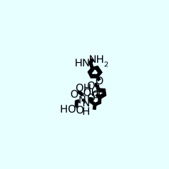 CC(Cc1ccc(C(=O)Oc2ccc(C(=N)N)cc2)o1)C(=O)NN(CC(=O)O)C(O)C(=O)O